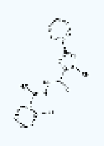 C/C(=N\NC(=O)c1cn(-c2ccccc2)nc1O)c1ccccc1O